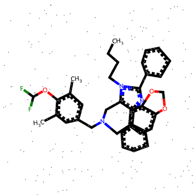 CCCCn1c(-c2ccccc2)nc(-c2ccccc2)c1CN(Cc1cc(C)c(OC(F)F)c(C)c1)Cc1ccc2c(c1)OCO2